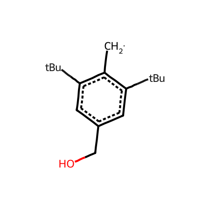 [CH2]c1c(C(C)(C)C)cc(CO)cc1C(C)(C)C